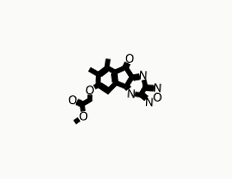 COC(=O)COc1cc2c(c(C)c1C)C(=O)c1nc3nonc3nc1-2